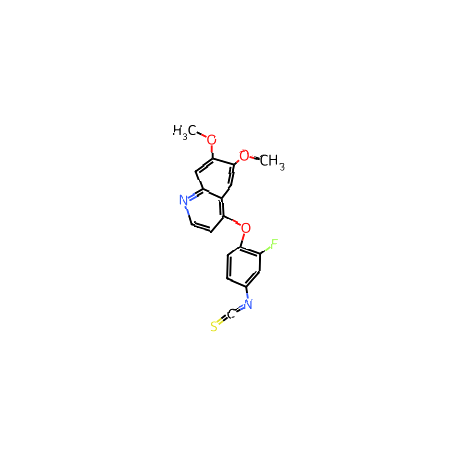 COc1cc2nccc(Oc3ccc(N=C=S)cc3F)c2cc1OC